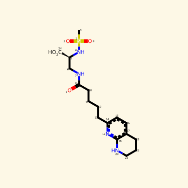 CS(=O)(=O)N[C@@H](CNC(=O)CCCCc1ccc2c(n1)NCCC2)C(=O)O